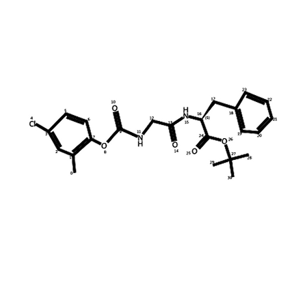 Cc1cc(Cl)ccc1OC(=O)NCC(=O)N[C@@H](Cc1ccccc1)C(=O)OC(C)(C)C